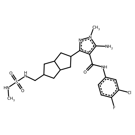 CNS(=O)(=O)NCC1CC2CC(c3nn(C)c(N)c3C(=O)Nc3ccc(F)c(Cl)c3)CC2C1